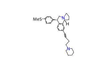 CSc1ccc([C@H]2CN3CCC[C@@H]3c3cc(C#CCCN4CCCCC4)ccc32)cc1